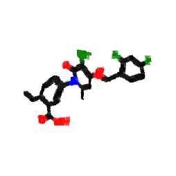 C=Cc1ccc(-n2c(C)cc(OCc3ccc(F)cc3F)c(Br)c2=O)cc1C(=O)O